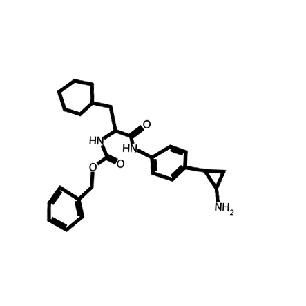 NC1CC1c1ccc(NC(=O)C(CC2CCCCC2)NC(=O)OCc2ccccc2)cc1